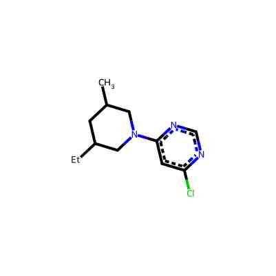 CCC1CC(C)CN(c2cc(Cl)ncn2)C1